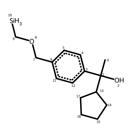 CC(O)(c1ccc(COC[SiH3])cc1)C1CCCC1